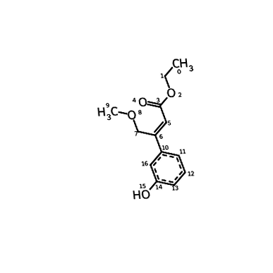 CCOC(=O)/C=C(\COC)c1cccc(O)c1